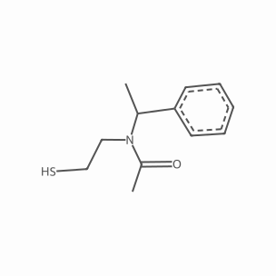 CC(=O)N(CCS)C(C)c1ccccc1